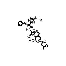 CC(=O)CC(=O)OCC1=C(C(=O)O)N2C(=O)C(NC(=O)C(=NOC3C=CCC3)c3nsc(N)n3)[C@@H]2SC1